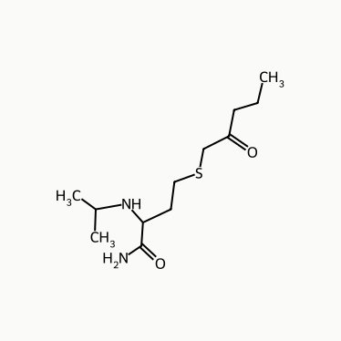 CCCC(=O)CSCCC(NC(C)C)C(N)=O